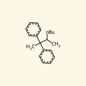 CCCCC(C)C(C)(c1ccccc1)c1ccccc1